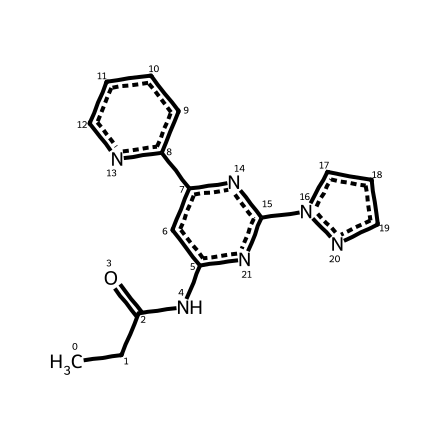 CCC(=O)Nc1cc(-c2ccccn2)nc(-n2cccn2)n1